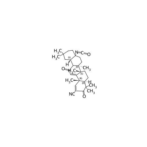 CC1(C)CCC2(N=C=O)CC[C@]3(C)C(C(=O)C=C4[C@@]5(C)C=C(C#N)C(=O)C(C)(C)[C@@H]5CC[C@]43C)[C@@H]2C1